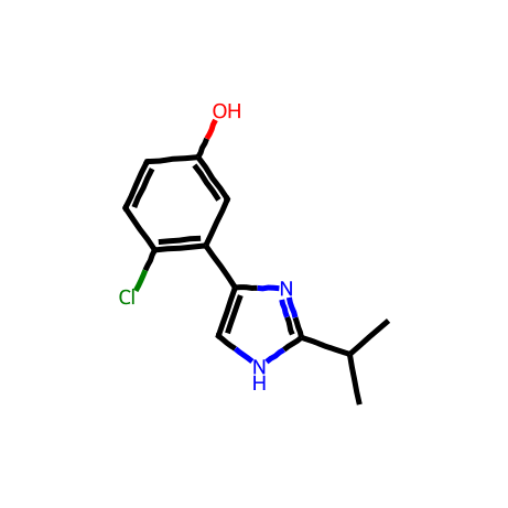 CC(C)c1nc(-c2cc(O)ccc2Cl)c[nH]1